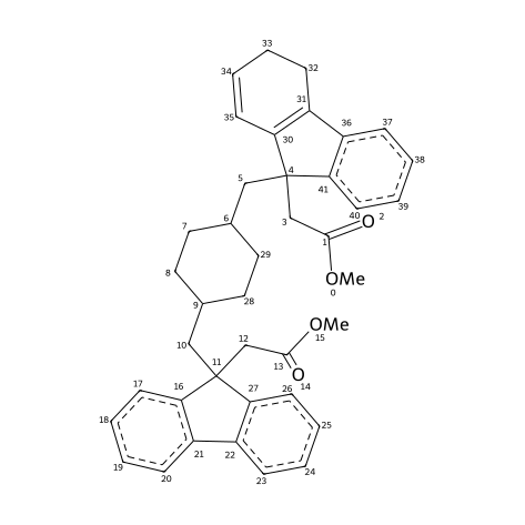 COC(=O)CC1(CC2CCC(CC3(CC(=O)OC)c4ccccc4-c4ccccc43)CC2)C2=C(CCC=C2)c2ccccc21